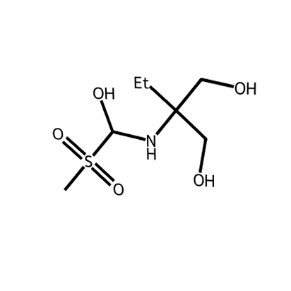 CCC(CO)(CO)NC(O)S(C)(=O)=O